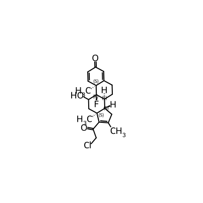 CC1=C(C(=O)CCl)[C@@]2(C)CC(O)[C@@]3(F)[C@@H](CCC4=CC(=O)C=C[C@@]43C)[C@@H]2C1